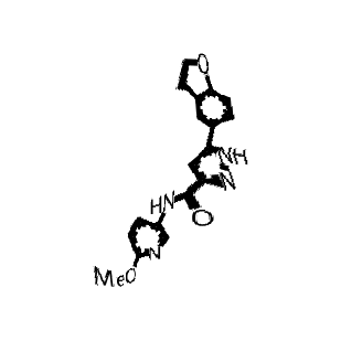 COc1ccc(NC(=O)c2cc(-c3ccc4c(c3)CCO4)[nH]n2)cn1